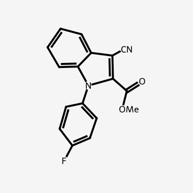 COC(=O)c1c(C#N)c2ccccc2n1-c1ccc(F)cc1